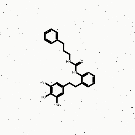 CC(C)(C)c1cc(CCc2ccccc2NC(=O)NCCCc2ccccc2)cc(C(C)(C)C)c1O